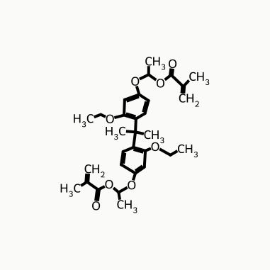 C=C(C)C(=O)OC(C)Oc1ccc(C(C)(C)c2ccc(OC(C)OC(=O)C(=C)C)cc2OCC)c(OCC)c1